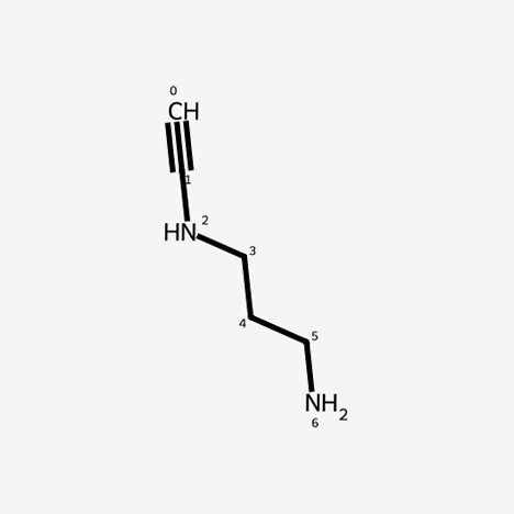 C#CNCCCN